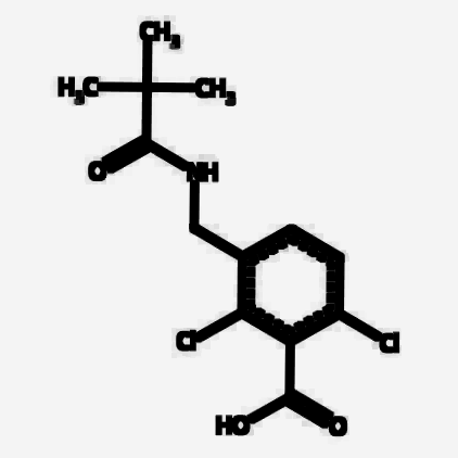 CC(C)(C)C(=O)NCc1ccc(Cl)c(C(=O)O)c1Cl